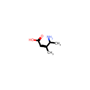 C/C(=C/C(=O)O)C(C)N